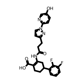 O=C(CCc1ccn(-c2ccc(O)cn2)n1)NC1=C(C(=O)O)CCC(c2cccc(F)c2F)C1